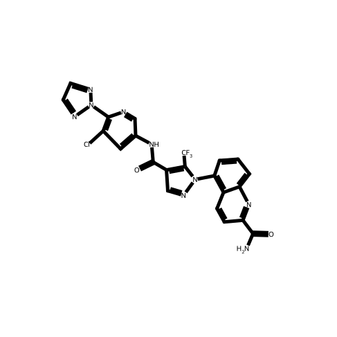 NC(=O)c1ccc2c(-n3ncc(C(=O)Nc4cnc(-n5nccn5)c(Cl)c4)c3C(F)(F)F)cccc2n1